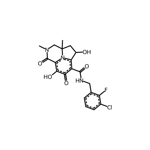 CN1CC2(C)CC(O)c3c(C(=O)NCc4cccc(Cl)c4F)c(=O)c(O)c(n32)C1=O